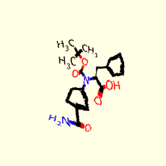 CC(C)(C)OC(=O)N(c1ccc(C(N)=O)cc1)[C@@H](Cc1ccccc1)C(=O)O